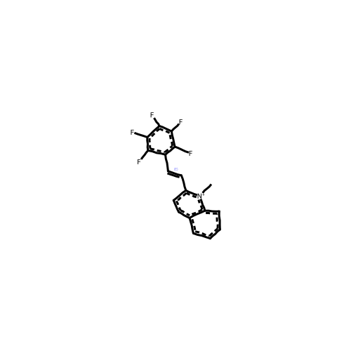 C[n+]1c(/C=C/c2c(F)c(F)c(F)c(F)c2F)ccc2ccccc21